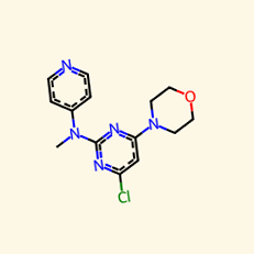 CN(c1ccncc1)c1nc(Cl)cc(N2CCOCC2)n1